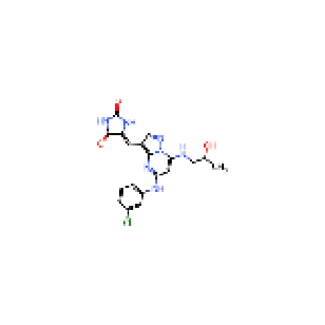 CC(O)CNc1cc(Nc2cccc(Cl)c2)nc2c(/C=C3\NC(=O)NC3=O)cnn12